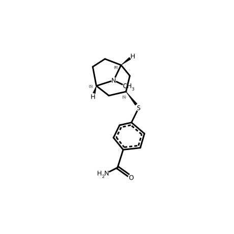 CN1[C@@H]2CC[C@H]1C[C@H](Sc1ccc(C(N)=O)cc1)C2